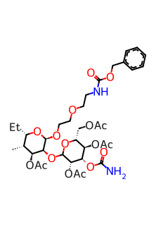 CC[C@@H]1O[C@@H](OCCOCCNC(=O)OCc2ccccc2)[C@@H](OC2O[C@H](COC(C)=O)[C@@H](OC(C)=O)[C@H](OC(N)=O)[C@@H]2OC(C)=O)[C@@H](OC(C)=O)[C@@H]1C